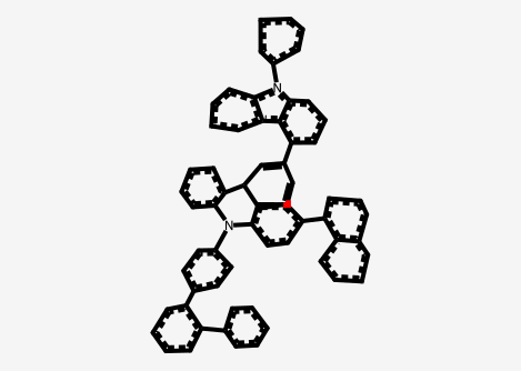 C1=CC(c2cccc3c2c2ccccc2n3-c2ccccc2)=CC(c2ccccc2N(c2ccc(-c3ccccc3-c3ccccc3)cc2)c2ccc(-c3cccc4ccccc34)cc2)C1